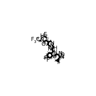 O=C(N[C@H](c1cn2ncc([C@@H](CC(F)F)C(=O)NCC(F)(F)F)cc2n1)C1CCC(F)(F)CC1)c1nonc1C1CC1